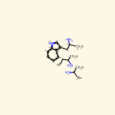 CC(C)CC(N)C(=O)O.CCC(C)C(N)C(=O)O.NC(Cc1c[nH]c2ccccc12)C(=O)O